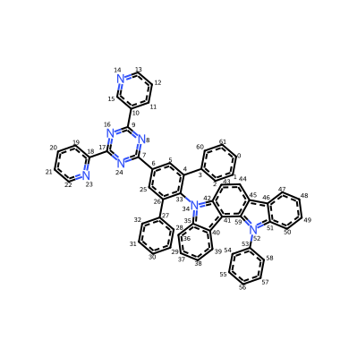 c1ccc(-c2cc(-c3nc(-c4cccnc4)nc(-c4ccccn4)n3)cc(-c3ccccc3)c2-n2c3ccccc3c3c2ccc2c4ccccc4n(-c4ccccc4)c23)cc1